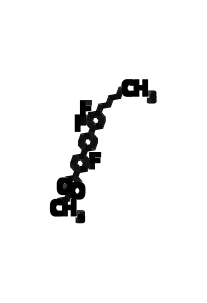 CCCCCCc1ccc(-c2ccc(-c3ccc(C4COC(CCC)OC4)cc3F)cc2)c(F)c1F